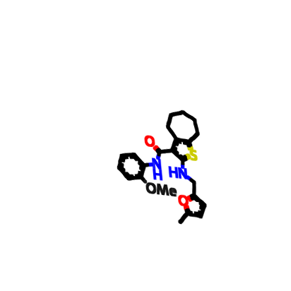 COc1ccccc1NC(=O)c1c(NCc2ccc(C)o2)sc2c1CCCCC2